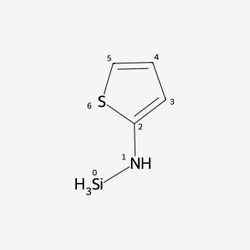 [SiH3]Nc1cccs1